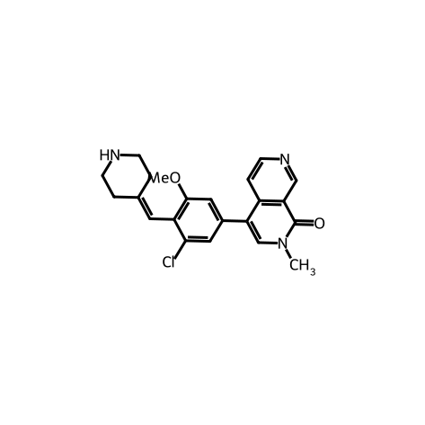 COc1cc(-c2cn(C)c(=O)c3cnccc23)cc(Cl)c1C=C1CCNCC1